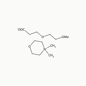 COCCOCCC(=O)[O-].C[N+]1(C)CCOCC1